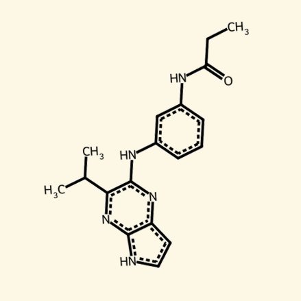 CCC(=O)Nc1cccc(Nc2nc3cc[nH]c3nc2C(C)C)c1